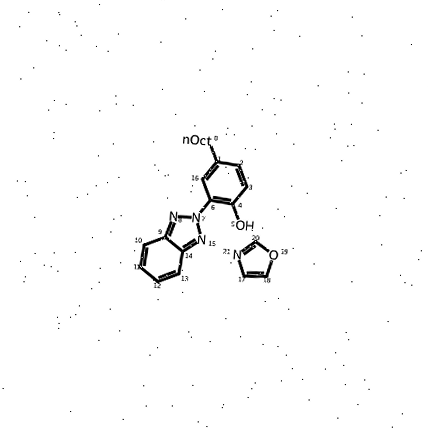 CCCCCCCCc1ccc(O)c(-n2nc3ccccc3n2)c1.c1cocn1